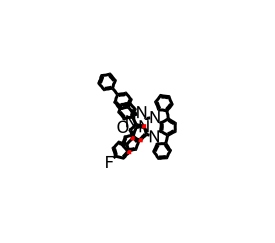 Fc1ccc(-c2cc(-n3c4ccccc4c4ccc5c6ccccc6n(-c6nc(-c7ccccc7)nc(-c7ccc(-c8ccccc8)cc7)n6)c5c43)cc3c2oc2ccccc23)cc1